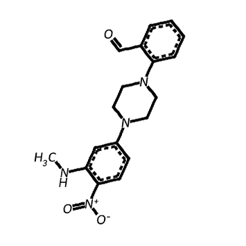 CNc1cc(N2CCN(c3ccccc3C=O)CC2)ccc1[N+](=O)[O-]